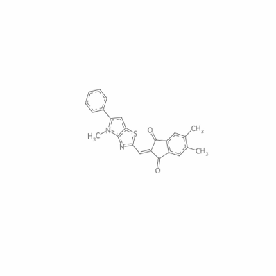 Cc1cc2c(cc1C)C(=O)C(=Cc1nc3c(cc(-c4ccccc4)n3C)s1)C2=O